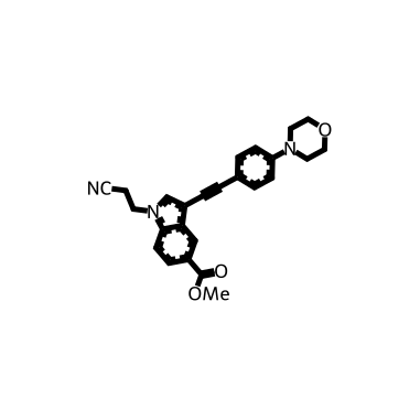 COC(=O)c1ccc2c(c1)c(C#Cc1ccc(N3CCOCC3)cc1)cn2CCC#N